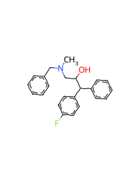 CN(Cc1ccccc1)CC(O)C(c1ccccc1)c1ccc(F)cc1